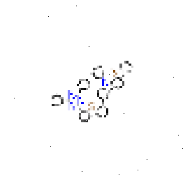 c1ccc(-c2nc(-c3ccccc3)nc(-c3cccc4c3sc3c(-c5ccc6c(c5)c5ccc7c8ccccc8sc7c5n6-c5ccccc5)cccc34)n2)cc1